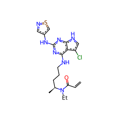 C=CC(=O)N(CC)[C@@H](C)CCCNc1nc(Nc2cnsc2)nc2[nH]cc(Cl)c12